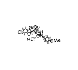 CCCCOC(c1ccc(Cl)cc1)C(Cl)N1C=CN(CC(=O)NCc2ccc(OC)cc2)C1.Cl